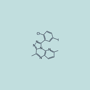 Cc1ccc2nc(C)c3nnc(-c4cc(I)ccc4Cl)n3c2n1